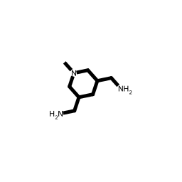 CN1CC(CN)CC(CN)C1